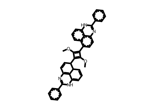 COC1=C(c2ccc3c4c(cccc24)NC(c2ccccc2)=N3)C(OC)=C1C1C=CC2=C3C(=CC=CC31)NC(c1ccccc1)=N2